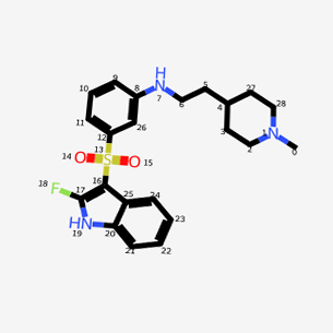 CN1CCC(CCNc2cccc(S(=O)(=O)c3c(F)[nH]c4ccccc34)c2)CC1